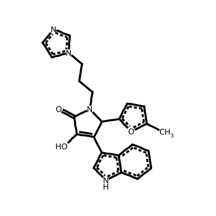 Cc1ccc(C2C(c3c[nH]c4ccccc34)=C(O)C(=O)N2CCCn2ccnc2)o1